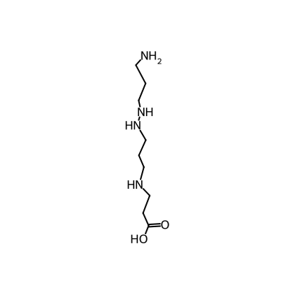 NCCCNNCCCNCCC(=O)O